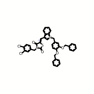 O=C1S/C(=C\c2cn(Cc3ccc(OCc4ccccc4)c(OCc4ccccc4)c3)c3ccccc23)C(=O)N1Cc1ccc(Cl)c(Cl)c1